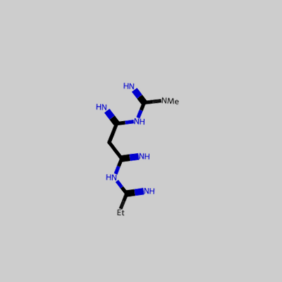 CCC(=N)NC(=N)CC(=N)NC(=N)NC